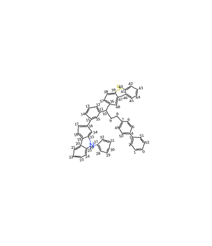 c1ccc(-c2ccc(CCC(c3cccc(-c4ccc5c6ccccc6n(-c6ccccc6)c5c4)c3)c3ccc4sc5ccccc5c4c3)cc2)cc1